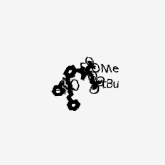 COC(=O)c1sc(-c2cccc(N(CC3CCCCC3)C(=O)NCCc3ccccc3)c2)c(C)c1OCC(=O)OC(C)(C)C